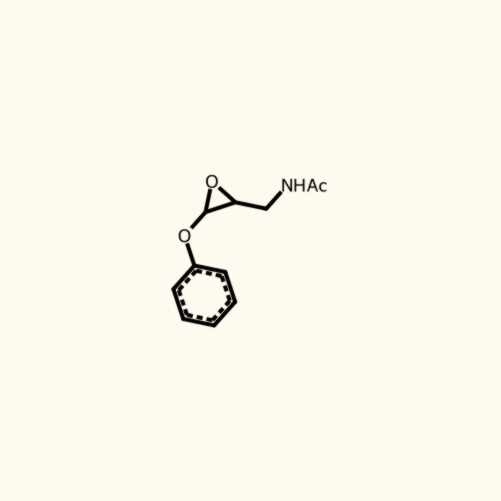 CC(=O)NCC1OC1Oc1ccccc1